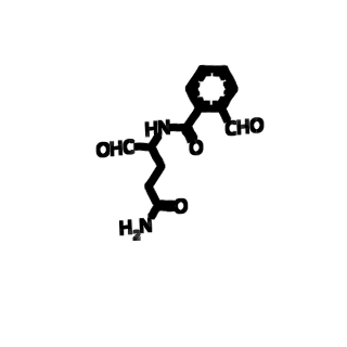 NC(=O)CCC(C=O)NC(=O)c1ccccc1C=O